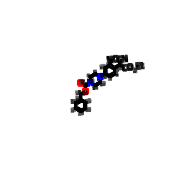 CCOC(=O)C(C#N)c1ccc(N2CCN(C(=O)OCc3ccccc3)CC2)cc1[N+](=O)[O-]